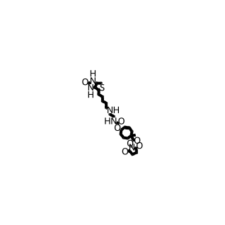 CC1(C(=O)ON2C(=O)CCC2=O)CC=CC(OC(=O)NCCNCCCCCC2SCC3NC(=O)NC32)CCC1